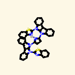 CCn1c(-n2c3ccccc3c3c4ccccc4n(-c4nc5ccccc5s4)c32)ccc1-n1c2ccccc2c2c3ccccc3n(-c3nc4ccccc4s3)c21